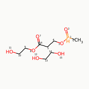 C[PH](=O)OCCC(=O)OCCO.OCCO